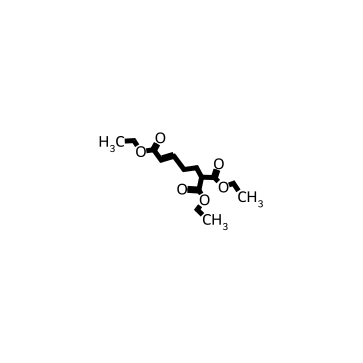 CCOC(=O)C=CCCC(C(=O)OCC)C(=O)OCC